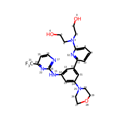 OCCN(CCO)c1cccc(-c2cc(Nc3nccc(C(F)(F)F)n3)cc(N3CCOCC3)c2)n1